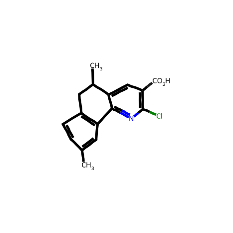 Cc1ccc2c(c1)-c1nc(Cl)c(C(=O)O)cc1C(C)C2